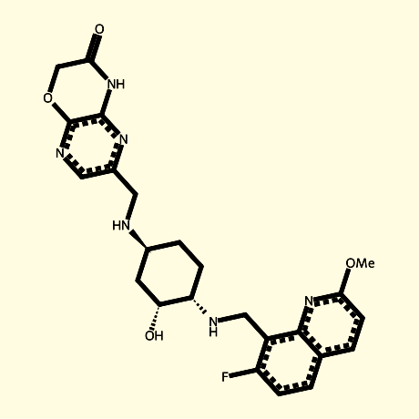 COc1ccc2ccc(F)c(CN[C@H]3CC[C@H](NCc4cnc5c(n4)NC(=O)CO5)C[C@H]3O)c2n1